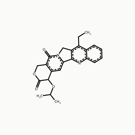 CCc1c2c(nc3ccccc13)-c1cc3c(c(=O)n1C2)COC(=O)C3OC(C)C